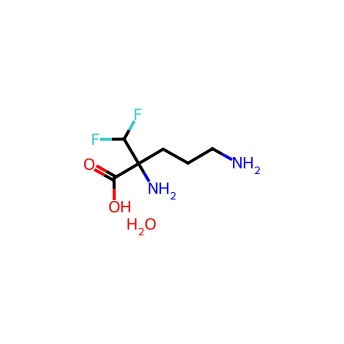 NCCCC(N)(C(=O)O)C(F)F.O